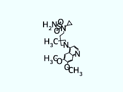 COc1cc2nccc(N3CC(C)(CCN(C4CC4)S(N)(=O)=O)C3)c2cc1OC